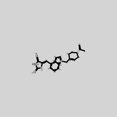 C=C(C)[C@@H]1CC=C(Cn2ccc3c(C=C4SC(=O)NC4=O)cccc32)CC1